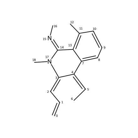 C=C/C=c1\c(=C/C)c2cccc(C)c2/c(=N\C)n1C